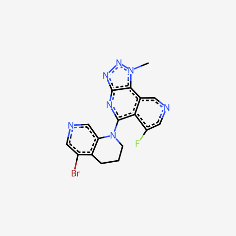 Cn1nnc2nc(N3CCCc4c(Br)cncc43)c3c(F)cncc3c21